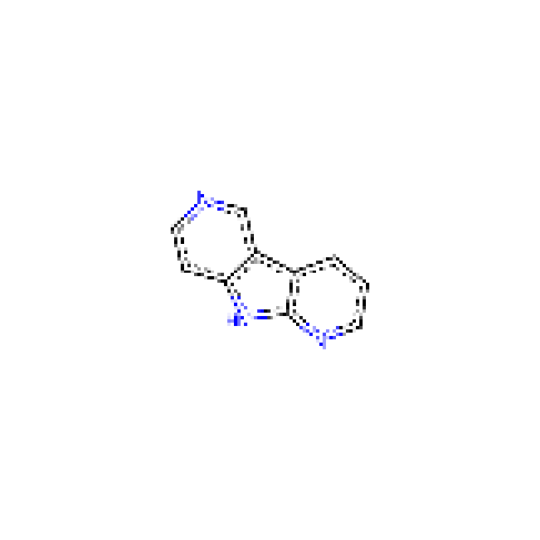 c1cnc2[nH]c3ccncc3c2c1